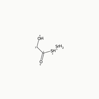 O=C(S)CO.[SrH2]